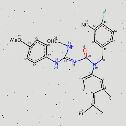 C\C=C(/C=C(C)\C=C(/C)CC)N(Cc1ccc(F)c(C#N)c1)C(=O)/N=C(\NC=O)Nc1ccc(OC)cc1